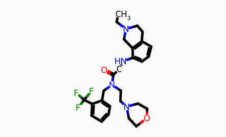 CCN1CCc2cccc(NCC(=O)N(CCN3CCOCC3)Cc3ccccc3C(F)(F)F)c2C1